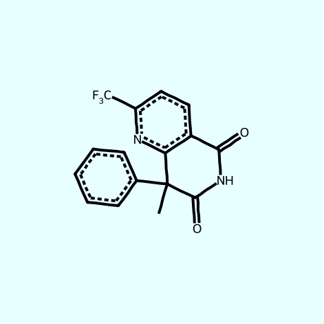 CC1(c2ccccc2)C(=O)NC(=O)c2ccc(C(F)(F)F)nc21